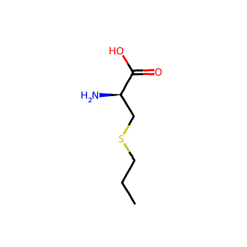 CCCSC[C@@H](N)C(=O)O